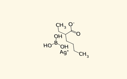 CCCCC(CC)C(=O)[O-].OB(O)O.[Ag+]